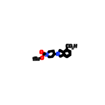 CC(C)(C)OC(=O)N1CCC(N2Cc3cccc(C(=O)O)c3C2)CC1